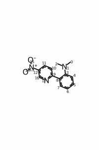 CN(C)c1ccccc1-c1ccc([N+](=O)[O-])cn1